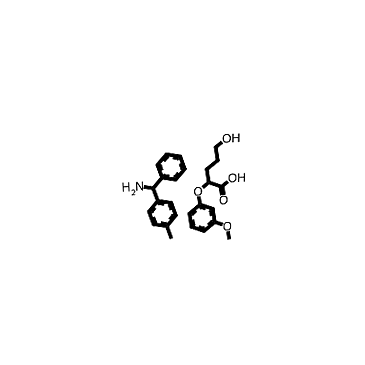 COc1cccc(OC(CCCO)C(=O)O)c1.Cc1ccc(C(N)c2ccccc2)cc1